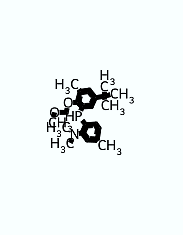 COCOc1c(C)cc(C(C)(C)C)cc1Pc1ccc(C)cc1N(C)C